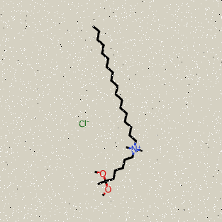 CCCCCCCCCCCCCCCCCC[N+](C)(C)CCCCCC(C)(OC)OC.[Cl-]